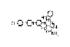 Cc1cc(N2CCN(c3ccc(Cl)cc3)CC2)ccc1N(C(=O)c1nc[nH]c1C(N)=O)c1nc2ccccc2[nH]1